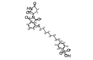 O=C1CCC(N2C(=O)c3cccc(SCCCCCCCCc4ccc(S(=O)(=O)O)cc4)c3C2=O)C(=O)N1